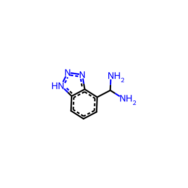 NC(N)c1cccc2[nH]nnc12